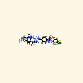 CCc1c(Nc2nc(-c3ccc(C(=O)NC4CCC(F)(F)C4)cc3)nn2C)ccc2[nH]ncc12